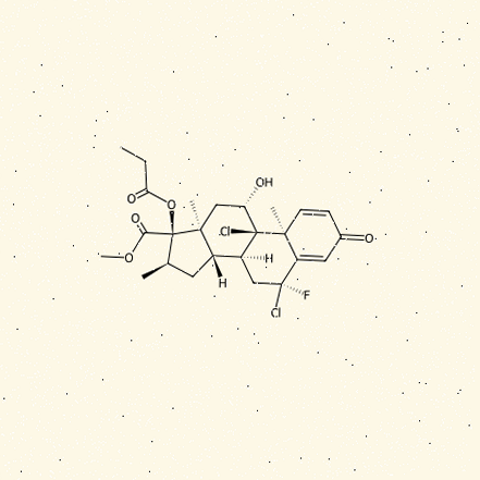 CCC(=O)O[C@]1(C(=O)OC)[C@H](C)C[C@H]2[C@@H]3C[C@](F)(Cl)C4=CC(=O)C=C[C@]4(C)[C@@]3(Cl)[C@@H](O)C[C@@]21C